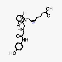 O=C(O)CCC/C=C\C[C@@H]1[C@@H](CNCC(=O)Nc2ccc(O)cc2)[C@@H]2CC[C@H]1O2